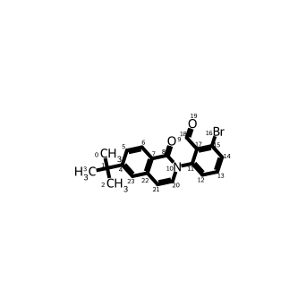 CC(C)(C)c1ccc2c(=O)n(-c3cccc(Br)c3C=O)ccc2c1